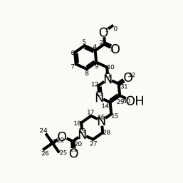 COC(=O)c1ccccc1Cn1cnc(CN2CCN(C(=O)OC(C)(C)C)CC2)c(O)c1=O